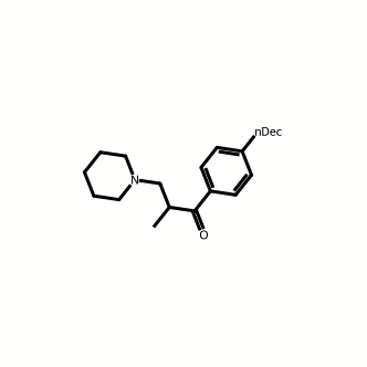 CCCCCCCCCCc1ccc(C(=O)C(C)CN2CCCCC2)cc1